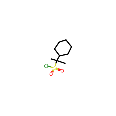 CC(C)(C1CCCCC1)S(=O)(=O)Cl